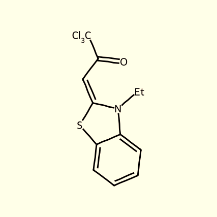 CCN1C(=CC(=O)C(Cl)(Cl)Cl)Sc2ccccc21